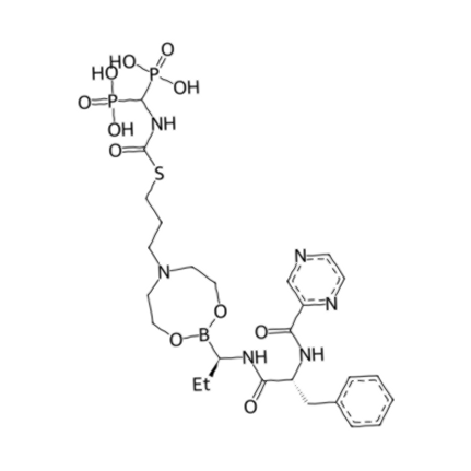 CC[C@H](NC(=O)[C@@H](Cc1ccccc1)NC(=O)c1cnccn1)B1OCCN(CCCSC(=O)NC(P(=O)(O)O)P(=O)(O)O)CCO1